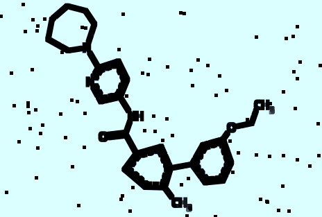 CCOc1cccc(-c2cc(C(=O)Nc3ccc(N4CCCCCC4)nc3)ccc2C)c1